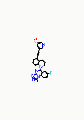 COc1cncc(C#Cc2cccc3c2CCCN3c2nc3nnc(C)n3c3ccc(F)cc23)c1